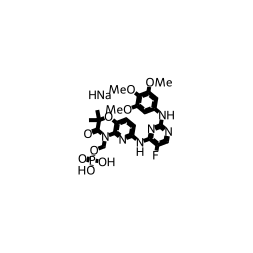 COc1cc(Nc2ncc(F)c(Nc3ccc4c(n3)N(COP(=O)(O)O)C(=O)C(C)(C)O4)n2)cc(OC)c1OC.[NaH]